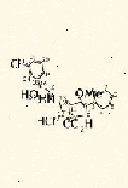 COC1=C(c2ccccc2)C=CC(CCNC[C@H](O)c2cccc(Cl)c2)(C(=O)O)C1.Cl